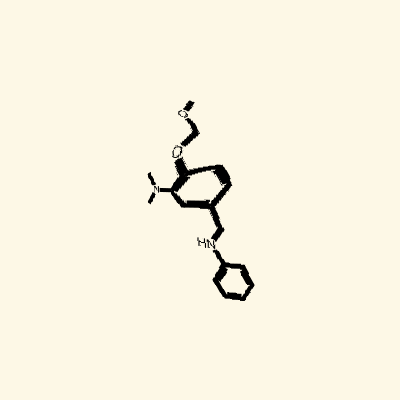 COCOc1ccc(CNc2ccccc2)cc1N(C)C